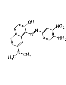 CN(C)c1ccc2ccc(O)c(/N=N/c3ccc(N)c([N+](=O)[O-])c3)c2c1